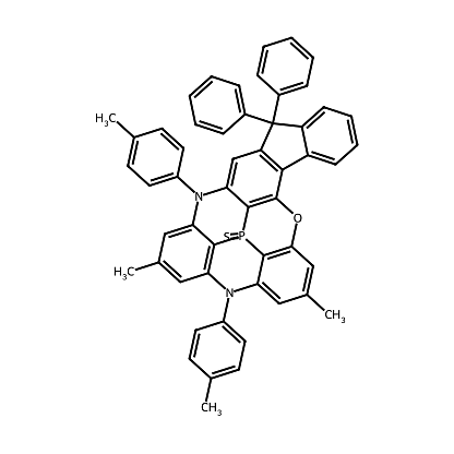 Cc1ccc(N2c3cc(C)cc4c3P3(=S)c5c2cc(C)cc5N(c2ccc(C)cc2)c2cc5c(c(c23)O4)-c2ccccc2C5(c2ccccc2)c2ccccc2)cc1